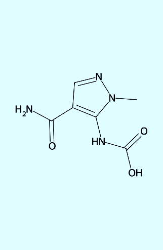 Cn1ncc(C(N)=O)c1NC(=O)O